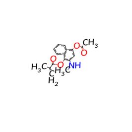 C=C(C)C(=O)Oc1c(NC)cc(OC(C)=O)c2ccccc12